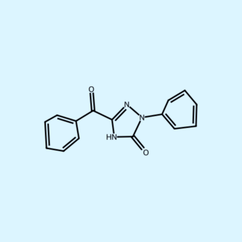 O=C(c1ccccc1)c1nn(-c2ccccc2)c(=O)[nH]1